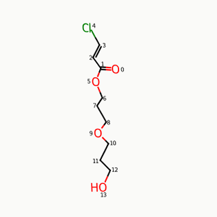 O=C(C=CCl)OCCCOCCCO